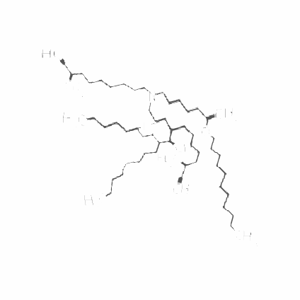 C#CC(=C)CCCCCCCN(CCCCCC(=C)OCCCCCCCCCCC)CC(C)CC(CCCCCC(=C)C#C)C(=C)C(CCCCCCCC)CCCCCCCC